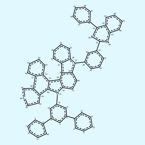 c1ccc(-c2cc(-c3ccccc3)cc(-n3c4ccc5c(c6ccccc6n5-c5cccc(-c6nc(-c7ccccc7)c7ccccc7n6)c5)c4c4c5ccccc5c5ccccc5c43)c2)cc1